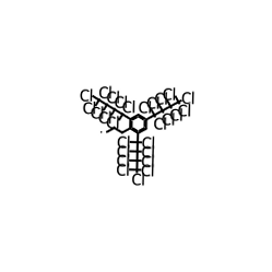 [CH2]CCc1c(C(Cl)(Cl)C(Cl)(Cl)C(Cl)(Cl)C(Cl)(Cl)Cl)cc(C(Cl)(Cl)C(Cl)(Cl)C(Cl)(Cl)C(Cl)(Cl)Cl)cc1C(Cl)(Cl)C(Cl)(Cl)C(Cl)(Cl)C(Cl)(Cl)Cl